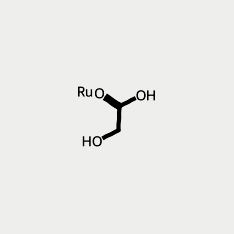 O=C(O)CO.[Ru]